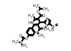 COC(=O)C1=C(c2ccc(OC(=O)N(C)C)cc2)NC(C)=C(C(=O)OC(C)C)C1c1ncc([N+](=O)[O-])n1C